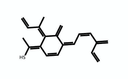 C=CC(=C)/C=C\C=c1\ccc(=C(/C)S)/c(=C(/C)C=C)c1=C